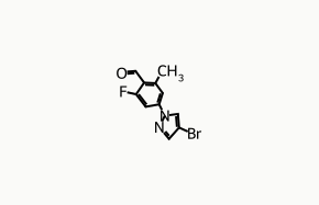 Cc1cc(-n2cc(Br)cn2)cc(F)c1C=O